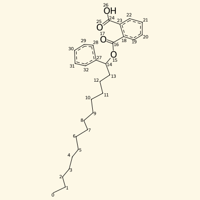 CCCCCCCCCCCCCCC(OC(=O)c1ccccc1C(=O)O)c1ccccc1